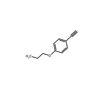 [C]#Cc1ccc(OCCC)cc1